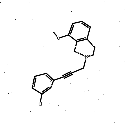 COc1cccc2c1CN(CC#Cc1cccc(Cl)c1)CC2